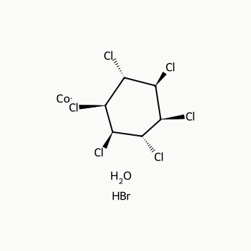 Br.Cl[C@H]1[C@H](Cl)[C@@H](Cl)[C@@H](Cl)[C@H](Cl)[C@H]1Cl.O.[Co]